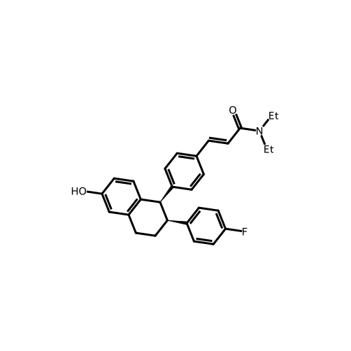 CCN(CC)C(=O)C=Cc1ccc([C@@H]2c3ccc(O)cc3CC[C@@H]2c2ccc(F)cc2)cc1